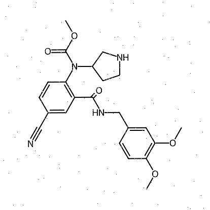 COC(=O)N(c1ccc(C#N)cc1C(=O)NCc1ccc(OC)c(OC)c1)C1CCNC1